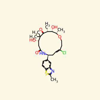 Cc1nc2cc([C@@H]3C/C=C(\Cl)CCO[C@@H](C)[C@@H](O)[C@@H](C)C(=O)C(C)(C)[C@@H](O)CC(=O)N3)ccc2s1